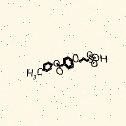 Cc1ccc(OC(=O)c2ccc(OCCCS(=O)(=O)O)cc2)cc1